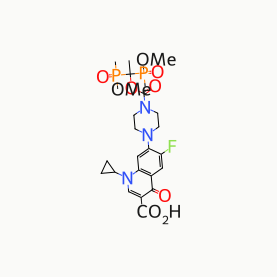 COP(C)(=O)C(C)(OC(=O)N1CCN(c2cc3c(cc2F)c(=O)c(C(=O)O)cn3C2CC2)CC1)P(C)(=O)OC